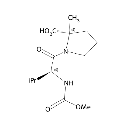 COC(=O)N[C@H](C(=O)N1CCC[C@@]1(C)C(=O)O)C(C)C